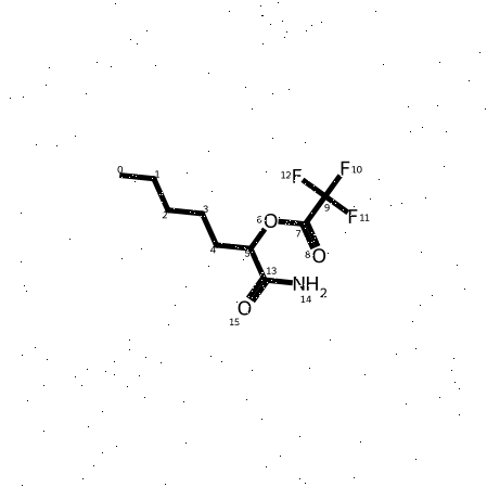 CCCCCC(OC(=O)C(F)(F)F)C(N)=O